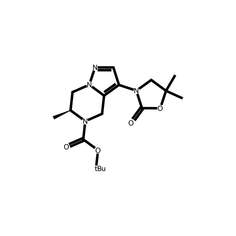 C[C@H]1Cn2ncc(N3CC(C)(C)OC3=O)c2CN1C(=O)OC(C)(C)C